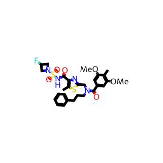 COc1cc(C(=O)N(CCCc2ccccc2)Cc2nc(C(=O)NS(=O)(=O)N3CC(F)C3)c(C)s2)cc(OC)c1C